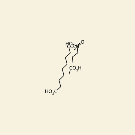 CC(=O)O.CCCC(=O)O.O=C(O)CCCCCCCC(=O)O